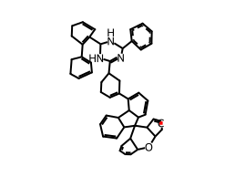 C1=CCCC(C2=C(C3NC(C4CCC=C(C5=CC=CC6C5C5C=CC=CC5C65C6C=CC=CC6OC6CCC=CC65)C4)=NC(c4ccccc4)N3)C=CCC2)=C1